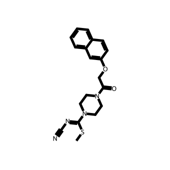 CSC(=NC#N)N1CCN(C(=O)COc2ccc3ccccc3c2)CC1